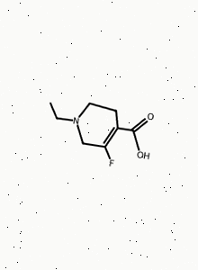 CCN1CCC(C(=O)O)=C(F)C1